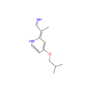 C/C(C=N)=C1\C=C(OCC(C)C)C=CN1